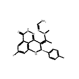 C/C(=C1/c2n[nH]c(=O)c3cc(F)cc(c23)N[C@@H]1c1ccc(F)cc1)N(C)/N=C\N